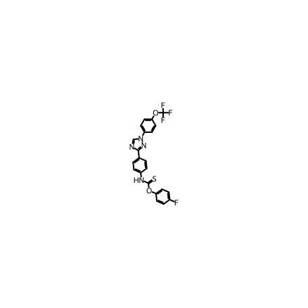 Fc1ccc(OC(=S)Nc2ccc(-c3ncn(-c4ccc(OC(F)(F)F)cc4)n3)cc2)cc1